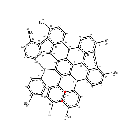 CC(C)(C)c1ccc(B2c3c(-c4ccc(F)cc4)c4c5c6c3-n3c7c2ccc(C(C)(C)C)c7c2c(C(C)(C)C)ccc(c23)B6c2ccc(C(C)(C)C)c3c6c(C(C)(C)C)ccc(c6n-5c23)B4c2ccc(C(C)(C)C)cc2)cc1